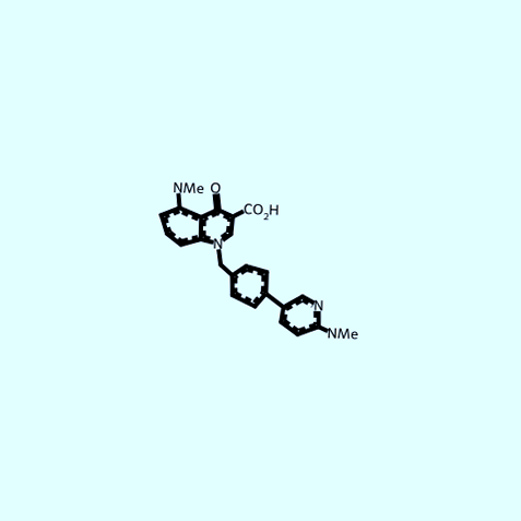 CNc1ccc(-c2ccc(Cn3cc(C(=O)O)c(=O)c4c(NC)cccc43)cc2)cn1